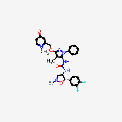 CCN1C[C@@H](NC(=O)Nc2c(C)c(OCc3cc(=O)ccn3C)nn2-c2ccccc2)[C@H](c2ccc(F)c(F)c2)O1